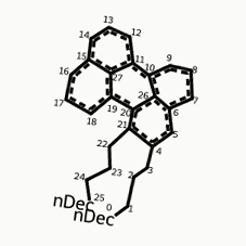 CCCCCCCCCCCCCc1cc2cccc3c4cccc5cccc(c(c1CCCCCCCCCCCCC)c23)c54